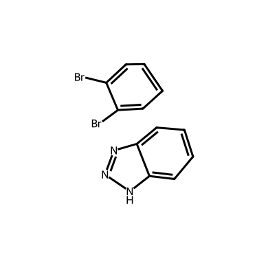 Brc1ccccc1Br.c1ccc2[nH]nnc2c1